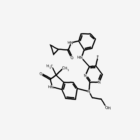 CC1(C)C(=O)Nc2ccc(N(CCO)c3ncc(F)c(Nc4ccccc4NC(=O)C4CC4)n3)cc21